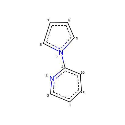 [c]1ccnc(-n2cccc2)c1